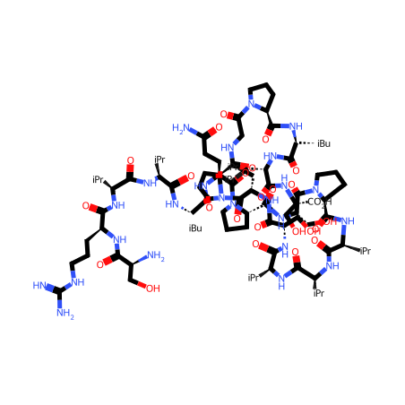 CC[C@H](C)[C@H](NC(=O)[C@@H](NC(=O)[C@@H](NC(=O)[C@H](CCCNC(=N)N)NC(=O)[C@@H](N)CO)C(C)C)C(C)C)C(=O)N[C@@H](CCC(N)=O)C(=O)N1CCC[C@H]1C(=O)N[C@@H](CO)C(=O)N1CCC[C@H]1C(=O)N[C@H](C(=O)N[C@H](C(=O)N[C@H](C(=O)N[C@H](C(=O)N[C@@H](CC(C)C)C(=O)N1CCC[C@H]1C(=O)NCC(=O)N1CCC[C@H]1C(=O)N[C@H](C(=O)N[C@@H](CC(C)C)C(=O)N[C@@H](CO)C(=O)O)[C@@H](C)CC)[C@@H](C)O)C(C)C)C(C)C)C(C)C